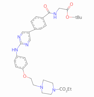 CCOC(=O)N1CCN(CCOc2ccc(Nc3ncc(-c4ccc(C(=O)NCC(=O)OC(C)(C)C)cc4)cn3)cc2)CC1